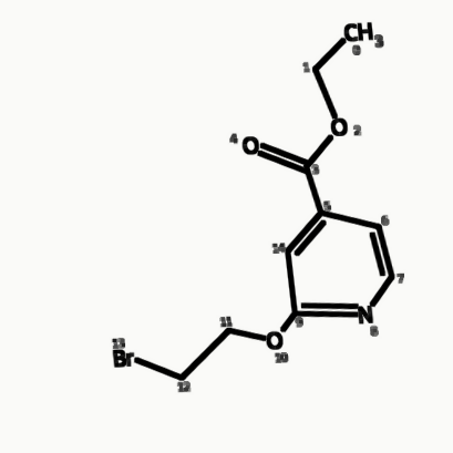 CCOC(=O)c1ccnc(OCCBr)c1